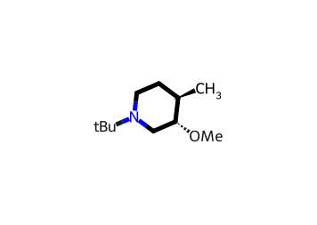 CO[C@@H]1CN(C(C)(C)C)CC[C@H]1C